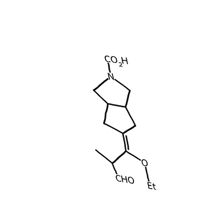 CCOC(=C1CC2CN(C(=O)O)CC2C1)C(C)C=O